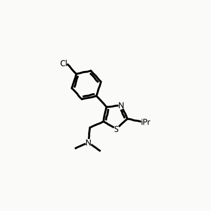 CC(C)c1nc(-c2ccc(Cl)cc2)c(CN(C)C)s1